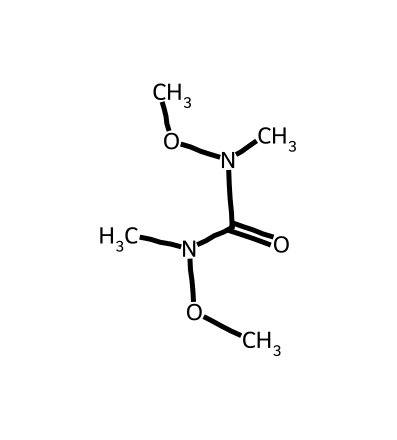 CON(C)C(=O)N(C)OC